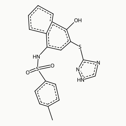 Cc1ccc(S(=O)(=O)Nc2cc(Sc3nc[nH]n3)c(O)c3ccccc23)cc1